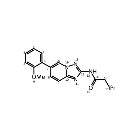 COc1ccccc1-c1ccc2nc(NC(=O)CC(C)C)nn2c1